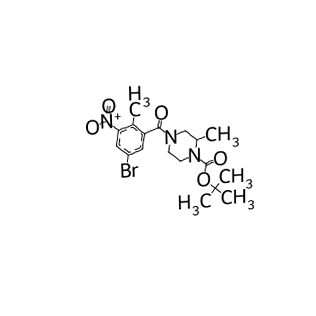 Cc1c(C(=O)N2CCN(C(=O)OC(C)(C)C)C(C)C2)cc(Br)cc1[N+](=O)[O-]